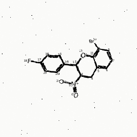 O=[N+]([O-])C1Cc2cccc(Br)c2OC1c1ccc(F)cc1